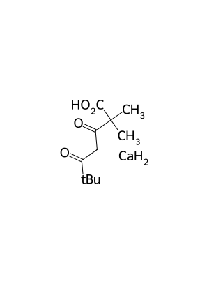 CC(C)(C)C(=O)CC(=O)C(C)(C)C(=O)O.[CaH2]